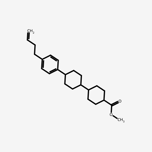 C=CCCc1ccc(C2CCC(C3CCC(C(=O)OC)CC3)CC2)cc1